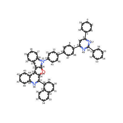 c1ccc(-c2cc(-c3ccc(-c4ccc(-n5c6ccccc6c6c7c(oc65)c(-c5cccc6ccccc56)nc5ccccc57)cc4)cc3)nc(-c3ccccc3)n2)cc1